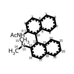 CC(=O)Nc1ccc2ccccc2c1-c1c(N(C)C)ccc2ccccc12